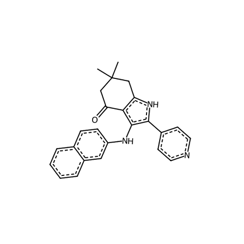 CC1(C)CC(=O)c2c([nH]c(-c3ccncc3)c2Nc2ccc3ccccc3c2)C1